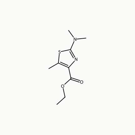 CCOC(=O)c1nc(N(C)C)sc1C